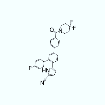 N#Cc1ccc(-c2ccc(-c3ccc(C(=O)N4CCC(F)(F)CC4)cc3)cc2-c2ccc(F)cc2)[nH]1